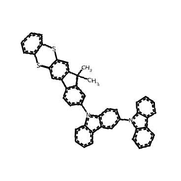 CC1(C)c2cc(-n3c4ccccc4c4cc(-n5c6ccccc6c6ccccc65)ccc43)ccc2-c2cc3c(cc21)Sc1ccccc1S3